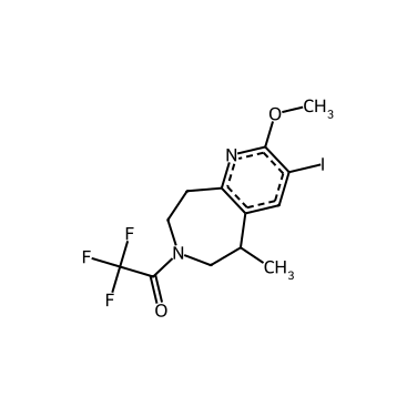 COc1nc2c(cc1I)C(C)CN(C(=O)C(F)(F)F)CC2